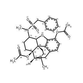 CC(=O)Oc1ccc2c3c1OC1C(N(C)S(=O)(=O)Cc4ccccc4)CC[C@@]4(OC(C)=O)[C@@H](C2)N(C)CC[C@]314